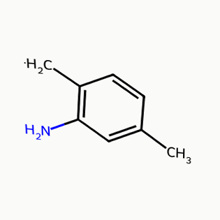 [CH2]c1ccc(C)cc1N